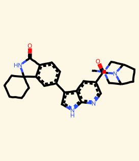 CN1CC2CCC(C1)N2C(=O)c1cnc2[nH]cc(-c3ccc4c(c3)C3(CCCCC3)NC4=O)c2c1